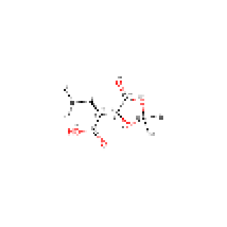 CC(C)C[C@H](C(=O)O)[C@@H]1OC(C)(C)OC1=O